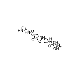 CC(N)(CO)C(=O)Nc1ccc(C(=O)Nc2ccn(CC(=O)NCC3CCCNC3)c(=O)n2)cc1